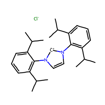 CC(C)c1cccc(C(C)C)c1N1[C+]N(c2c(C(C)C)cccc2C(C)C)C=C1.[Cl-]